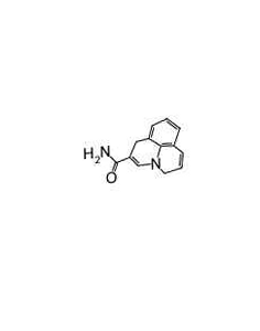 NC(=O)C1=CN2CC=Cc3cccc(c32)C1